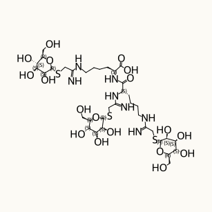 N=C(CS[C@H]1O[C@H](CO)[C@@H](O)[C@H](O)[C@@H]1O)NCCCC[C@H](NC(=O)[C@H](CCCCNC(=N)CS[C@H]1O[C@H](CO)[C@@H](O)[C@H](O)[C@@H]1O)NC(=N)CS[C@H]1O[C@H](CO)[C@@H](O)[C@H](O)[C@@H]1O)C(=O)O